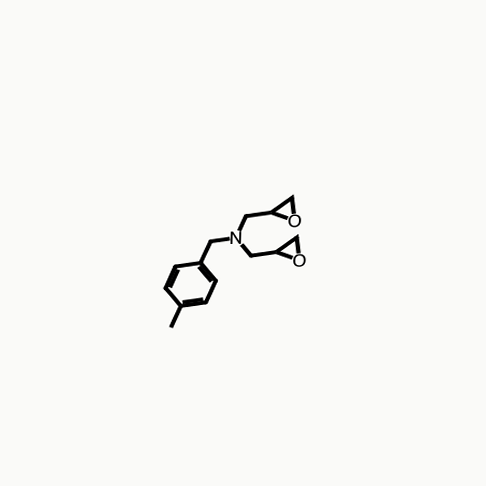 Cc1ccc(CN(CC2CO2)CC2CO2)cc1